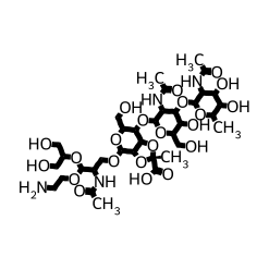 CC(=O)NC(COC1OC(CO)C(OC2OC(CO)C(O)C(OC3OC(C)C(O)C(O)C3NC(C)=O)C2NC(C)=O)C2O[C@](C)(C(=O)O)OC12)C(OCCN)OC(CO)CO